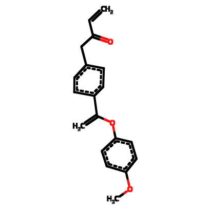 C=CC(=O)Cc1ccc(C(=C)Oc2ccc(OC)cc2)cc1